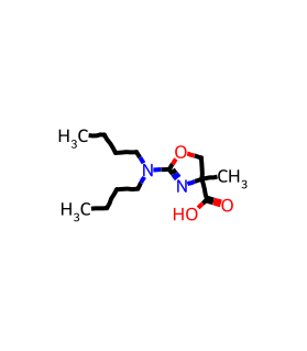 CCCCN(CCCC)C1=NC(C)(C(=O)O)CO1